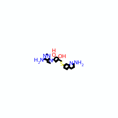 Nc1ccc2ccc(SCC3=CC(n4ccc5c(N)ncnc54)C(O)C3O)cc2n1